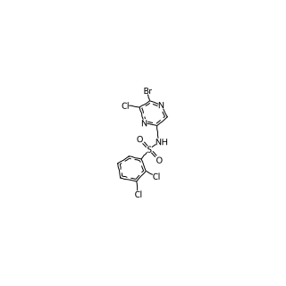 O=S(=O)(Nc1cnc(Br)c(Cl)n1)c1cccc(Cl)c1Cl